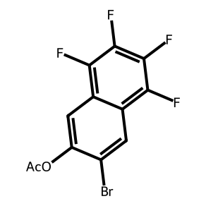 CC(=O)Oc1cc2c(F)c(F)c(F)c(F)c2cc1Br